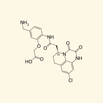 NCc1ccc(NC(=O)C[C@@H]2CCc3cc(Cl)cc4[nH]c(=O)c(=O)n2c34)c(OCC(=O)O)c1